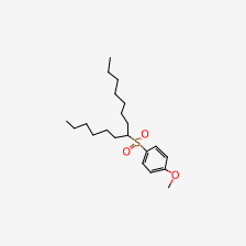 CCCCCCCC(CCCCCC)S(=O)(=O)c1ccc(OC)cc1